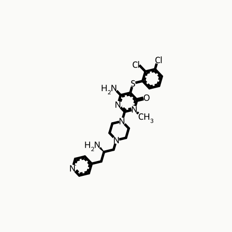 Cn1c(N2CCN(C[C@H](N)Cc3ccncc3)CC2)nc(N)c(Sc2cccc(Cl)c2Cl)c1=O